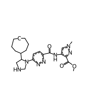 COC(=O)c1nn(C)cc1NC(=O)c1ccc(N2CNCC2C2CCCCCCC2)nn1